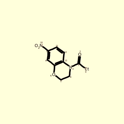 CCC(=O)N1CCOc2cc([N+](=O)[O-])ccc21